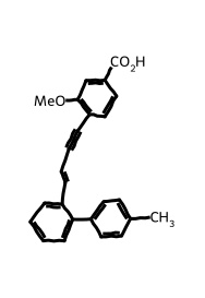 COc1cc(C(=O)O)ccc1C#C/C=C/c1ccccc1-c1ccc(C)cc1